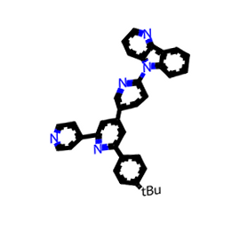 CC(C)(C)c1ccc(-c2cc(-c3ccc(-n4c5ccccc5c5ncccc54)nc3)cc(-c3ccncc3)n2)cc1